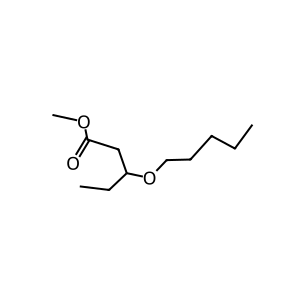 CCCCCOC(CC)CC(=O)OC